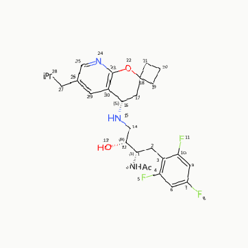 CC(=O)N[C@@H](Cc1c(F)cc(F)cc1F)[C@H](O)CN[C@H]1CC2(CCC2)Oc2ncc(CC(C)C)cc21